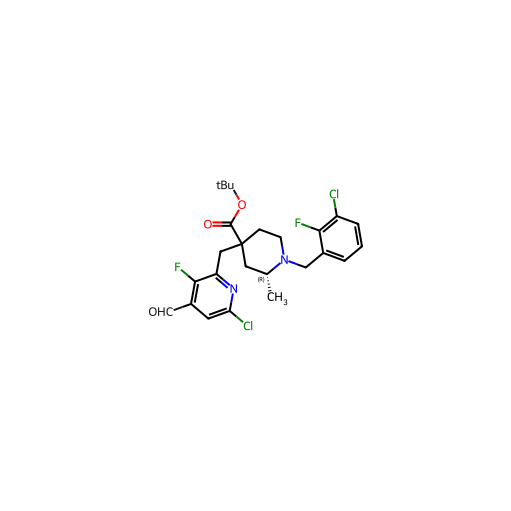 C[C@@H]1CC(Cc2nc(Cl)cc(C=O)c2F)(C(=O)OC(C)(C)C)CCN1Cc1cccc(Cl)c1F